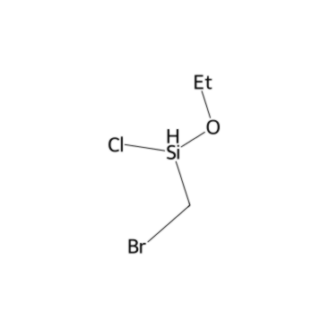 CCO[SiH](Cl)CBr